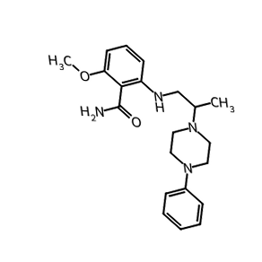 COc1cccc(NCC(C)N2CCN(c3ccccc3)CC2)c1C(N)=O